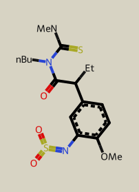 CCCCN(C(=O)C(CC)c1ccc(OC)c(N=S(=O)=O)c1)C(=S)NC